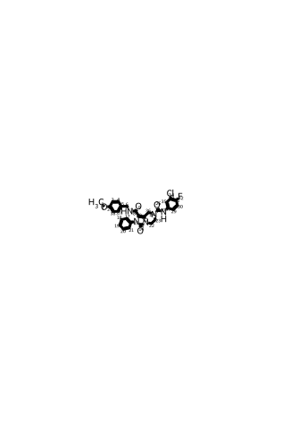 COc1ccc(CNC(=O)c2c3n(c(=O)n2-c2ccccc2)CCN(C(=O)Nc2ccc(F)c(Cl)c2)C3)cc1